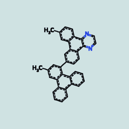 Cc1ccc2c(c1)c1cc(-c3cc(C)cc4c5ccccc5c5ccccc5c34)ccc1c1nccnc21